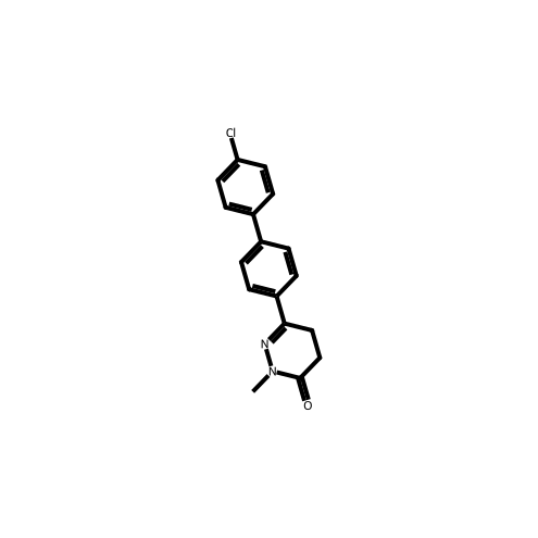 CN1N=C(c2ccc(-c3ccc(Cl)cc3)cc2)CCC1=O